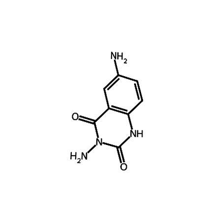 Nc1ccc2[nH]c(=O)n(N)c(=O)c2c1